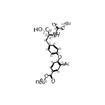 CCCCOC(=O)c1ccc(Oc2ccc(C[C@H](NC(=O)OC(C)(C)C)C(=O)O)cc2)c(C(C)=O)c1